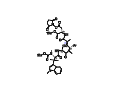 C/C(=C\[C@H](C(C)C)N(C)C(=O)[C@@H](NC(=O)[C@@H](N(C)C(=O)OC(C)(C)C)C(C)(C)c1cn(C)c2ccccc12)C(C)(C)C)C(=O)N[C@@H](CC(=O)ON1C(=O)CCC1=O)C(=O)OC(C)(C)C